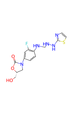 O=C1O[C@@H](CO)CN1c1ccc(NCNNc2nccs2)c(F)c1